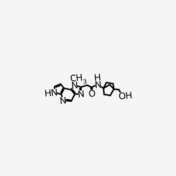 Cn1c(CC(=O)NC23CCC(CO)(CC2)C3)nc2cnc3[nH]ccc3c21